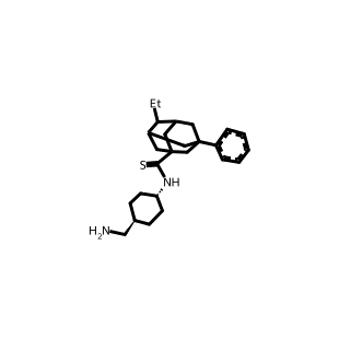 CCC1C2CC3(C(=S)N[C@H]4CC[C@H](CN)CC4)CC1CC(c1ccccc1)(C2)C3